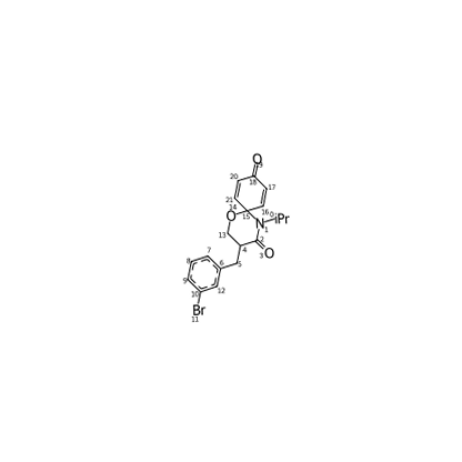 CC(C)N1C(=O)C(Cc2cccc(Br)c2)COC12C=CC(=O)C=C2